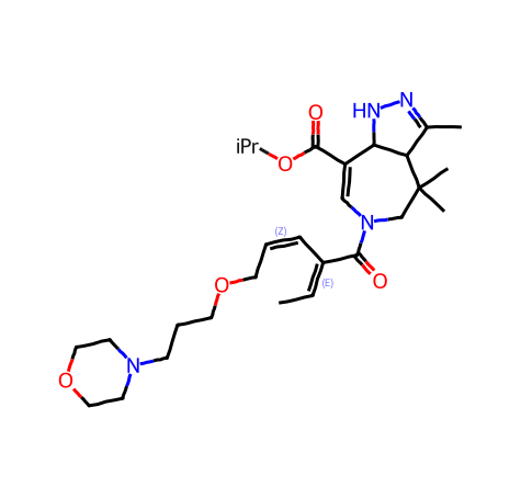 C/C=C(\C=C/COCCCN1CCOCC1)C(=O)N1C=C(C(=O)OC(C)C)C2NN=C(C)C2C(C)(C)C1